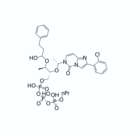 CCCOP(=O)(O)OP(=O)(O)OP(=O)(O)OC[C@@H](O[C@H](C)n1ccc2nc(-c3ccccc3Cl)cn2c1=O)[C@@H](C)OC(O)CCc1ccccc1